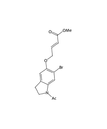 COC(=O)C=CCOc1cc2c(cc1Br)N(C(C)=O)CC2